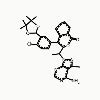 Cc1nn(C(C)c2oc(=O)c3ccccc3c2-c2ccc(Cl)c(C3OC(C)(C)C(C)(C)O3)c2)c2ncnc(N)c12